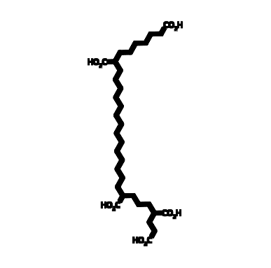 O=C(O)CCCCCCC(CCCCCCCCCCCCCCC(CCCC(CCC(=O)O)C(=O)O)C(=O)O)C(=O)O